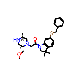 COC[C@H]1CN[C@H](C)CN1CC(=O)N1CC(C)(C)c2ccc(SCc3ccccc3)cc21